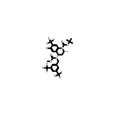 COC(=O)N(Cc1cc(C(F)(F)F)cc(C(F)(F)F)c1)[C@H]1C[C@@H](C)N(C(=O)OC(C)(C)C)c2cc(C(F)(F)F)c(F)cc21